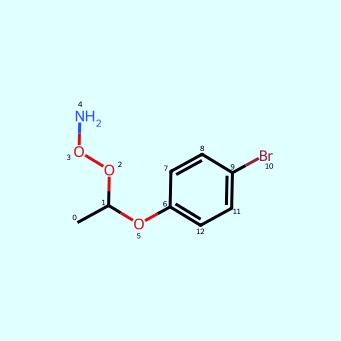 CC(OON)Oc1ccc(Br)cc1